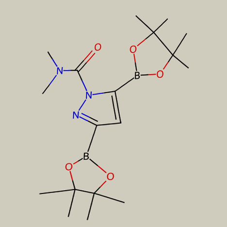 CN(C)C(=O)n1nc(B2OC(C)(C)C(C)(C)O2)cc1B1OC(C)(C)C(C)(C)O1